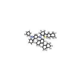 c1ccc(-n2c3ccccc3c3cc(N(c4ccc(-c5cccc6ccccc56)c5ccccc45)c4cccc5c4sc4cc6ccccc6cc45)ccc32)cc1